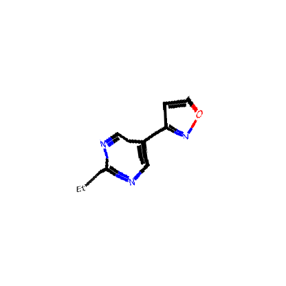 CCc1ncc(-c2ccon2)cn1